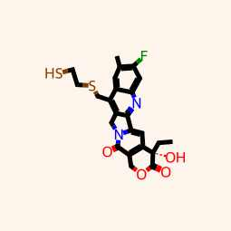 CC[C@@]1(O)C(=O)OCc2c1cc1n(c2=O)Cc2c-1nc1cc(F)c(C)cc1c2CSCCS